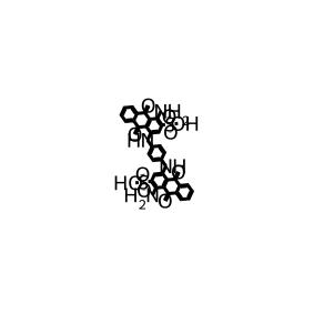 Nc1c(S(=O)(=O)O)cc(Nc2ccc(Nc3cc(S(=O)(=O)O)c(N)c4c3C(=O)c3ccccc3C4=O)cc2)c2c1C(=O)c1ccccc1C2=O